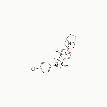 CC(C)(Oc1ccc(Cl)cc1)C(=O)NC1CC2CCC(C1)N2c1ccc(S(C)(=O)=O)cc1